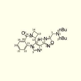 CCCCN(CCCC)Cc1nc(-c2ncn3c2[C@@H]2CCN2C(=O)c2ccccc2-3)no1